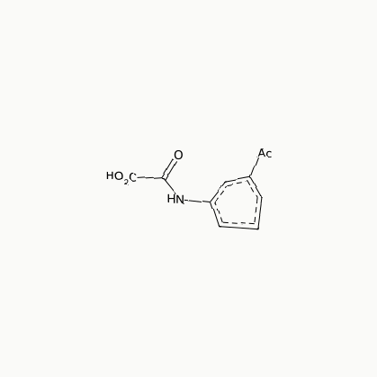 CC(=O)c1cccc(NC(=O)C(=O)O)c1